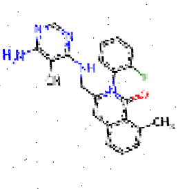 Cc1cccc2cc(CNc3ncnc(N)c3C#N)n(-c3ccccc3F)c(=O)c12